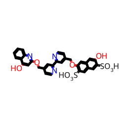 O=S(=O)(O)c1cc2cc(S(=O)(=O)O)c(OCc3ccnc(-c4cc(COc5cc(O)c6ccccc6n5)ccn4)c3)cc2cc1O